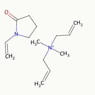 C=CC[N+](C)(C)CC=C.C=CN1CCCC1=O